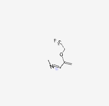 C=C(/C=N\C)OCC(F)(F)F